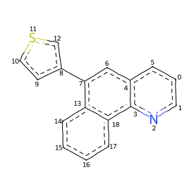 c1cnc2c(c1)cc(-c1ccsc1)c1ccccc12